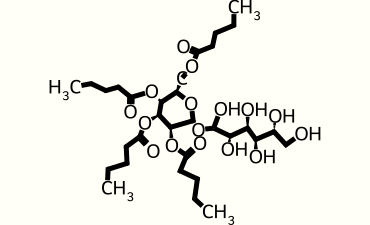 CCCCC(=O)OC[C@H]1O[C@@H](OC(O)[C@@H](O)[C@@H](O)[C@H](O)[C@H](O)CO)[C@@H](OC(=O)CCCC)[C@@H](OC(=O)CCCC)[C@@H]1OC(=O)CCCC